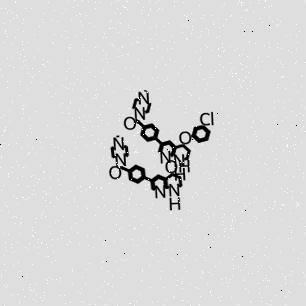 CN1CCN(C(=O)c2ccc(-c3cnc4c(c3)C(O)CCN4)cc2)CC1.CN1CCN(C(=O)c2ccc(-c3cnc4c(c3)C(Oc3cccc(Cl)c3)CCN4)cc2)CC1